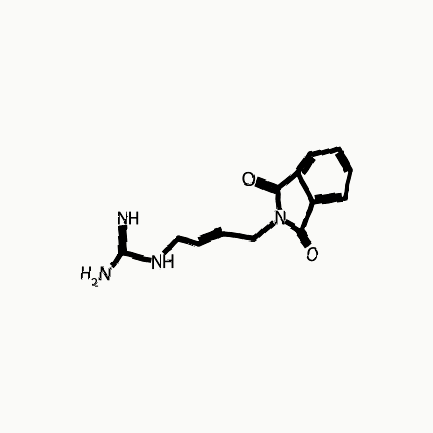 N=C(N)NC/C=C/CN1C(=O)c2ccccc2C1=O